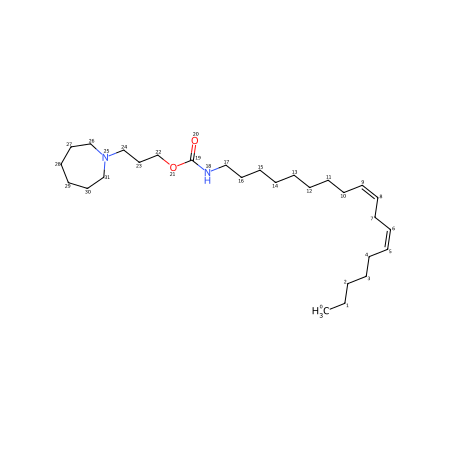 CCCCC/C=C\C/C=C\CCCCCCCCNC(=O)OCCCN1CCCCCC1